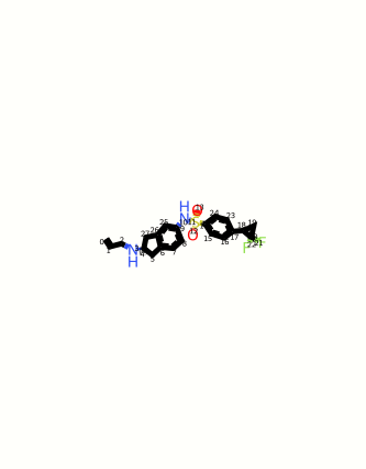 C=CCN[C@@H]1Cc2ccc(NS(=O)(=O)c3ccc(C4CC4(F)F)cc3)cc2C1